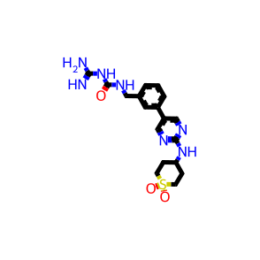 N=C(N)NC(=O)NCc1cccc(-c2cnc(NC3CCS(=O)(=O)CC3)nc2)c1